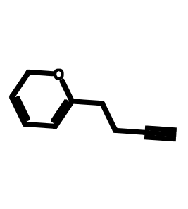 C#CCCC1=CC=CCO1